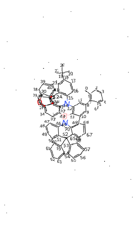 Cc1cccc(C)c1-c1cc2c3c(c1)N(c1ccc(C(C)(C)C)cc1-c1ccccc1)c1c(ccc4oc5ccccc5c14)B3N1c3ccccc3C(c3ccccc3)(c3ccccc3)c3cccc-2c31